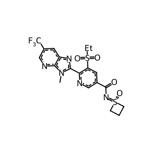 CCS(=O)(=O)c1cc(C(=O)N=S2(=O)CCC2)cnc1-c1nc2cc(C(F)(F)F)cnc2n1C